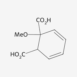 COC1(C(=O)O)C=CC=CC1C(=O)O